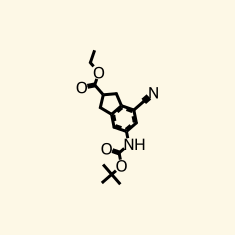 CCOC(=O)C1Cc2cc(NC(=O)OC(C)(C)C)cc(C#N)c2C1